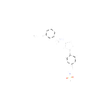 COc1cccc([C@@H](C)NC2CCC(c3ccc(CNS(C)(=O)=O)cc3)C2)c1